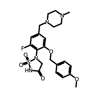 COc1ccc(COc2cc(CN3CCN(C)CC3)cc(F)c2N2CC(=O)NS2(=O)=O)cc1